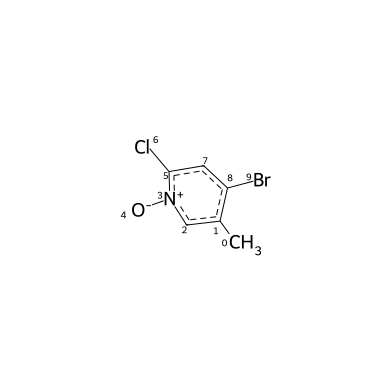 Cc1c[n+]([O-])c(Cl)cc1Br